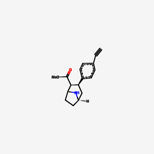 C#Cc1ccc([C@H]2C[C@H]3CCC(N3)C2C(=O)OC)cc1